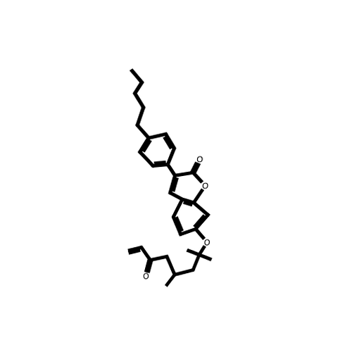 C=CC(=O)CC(C)CC(C)(C)Oc1ccc2cc(-c3ccc(CCCCC)cc3)c(=O)oc2c1